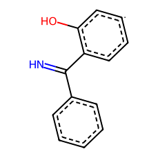 N=C(c1ccccc1)c1cc[c]cc1O